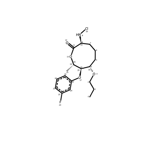 CCCO[C@H]1CCC[C@H](NCl)C(=O)O[C@@H](C)[C@@H]1Oc1cccc(F)c1